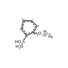 O.O.O.O=S(=O)(O)c1ccccc1.[Fe]